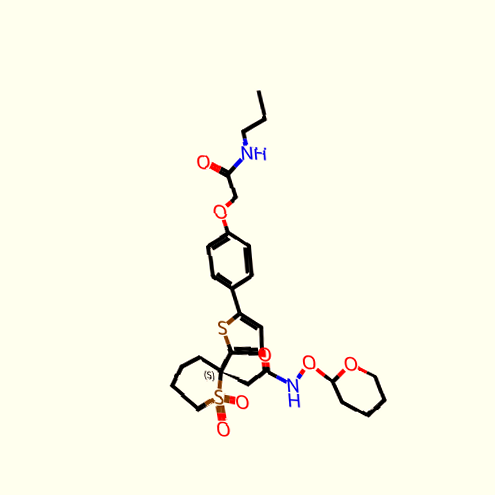 CCCNC(=O)COc1ccc(-c2ccc([C@@]3(CC(=O)NOC4CCCCO4)CCCCS3(=O)=O)s2)cc1